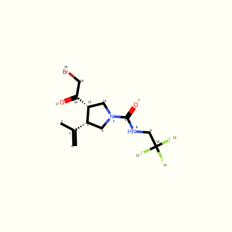 C=C(C)[C@H]1CN(C(=O)NCC(F)(F)F)C[C@H]1C(=O)CBr